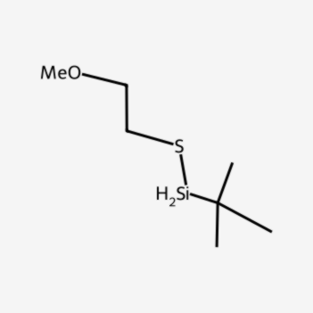 COCCS[SiH2]C(C)(C)C